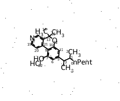 CCCCCC(C)C(C)c1cc(O)c2c(c1)OC(C)(C)c1cnccc1-2.Cl